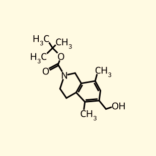 Cc1cc(CO)c(C)c2c1CN(C(=O)OC(C)(C)C)CC2